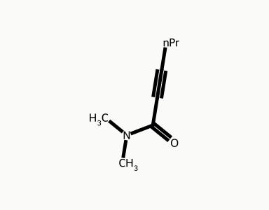 CCCC#CC(=O)N(C)C